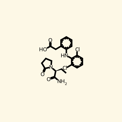 CC[C@@H](C(N)=O)N1CCCC1=O.O=C(O)Cc1ccccc1Nc1c(Cl)cccc1Cl